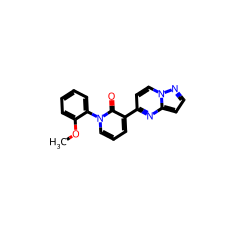 COc1ccccc1-n1cccc(-c2ccn3nccc3n2)c1=O